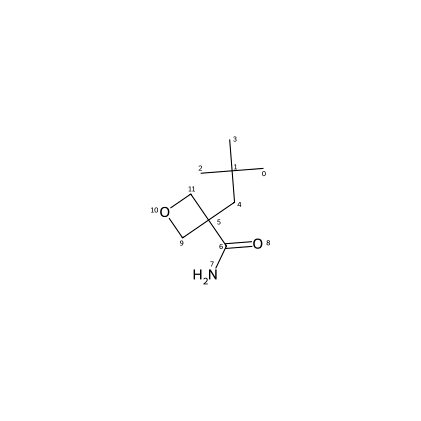 CC(C)(C)CC1(C(N)=O)COC1